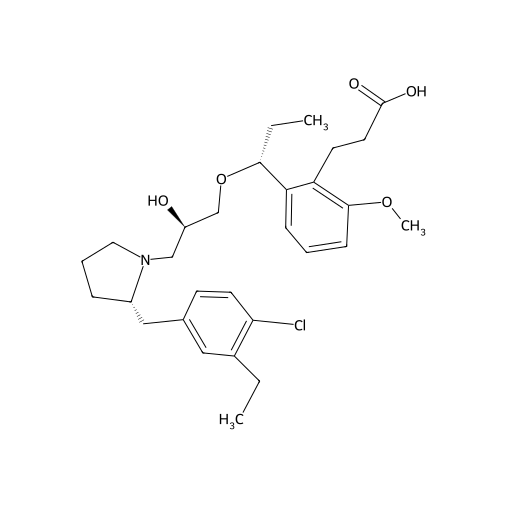 CCc1cc(C[C@@H]2CCCN2C[C@@H](O)CO[C@H](CC)c2cccc(OC)c2CCC(=O)O)ccc1Cl